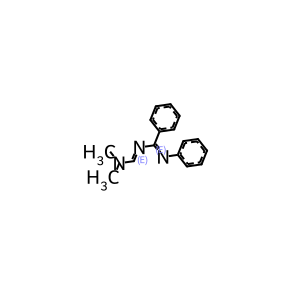 CN(C)/C=N/C(=N/c1ccccc1)c1ccccc1